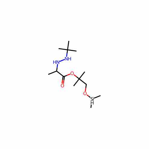 CC(NNC(C)(C)C)C(=O)OC(C)(C)CO[SiH](C)C